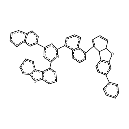 C1=CC2Oc3cc(-c4ccccc4)ccc3C2C(c2cccc3c(-c4nc(-c5ccc6ccccc6c5)nc(-c5cccc6oc7ccccc7c56)n4)cccc23)=C1